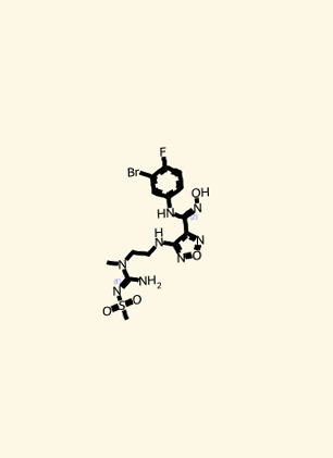 CN(CCNc1nonc1/C(=N/O)Nc1ccc(F)c(Br)c1)/C(N)=N/S(C)(=O)=O